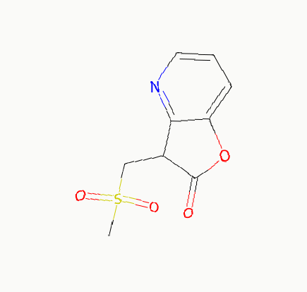 CS(=O)(=O)CC1C(=O)Oc2cccnc21